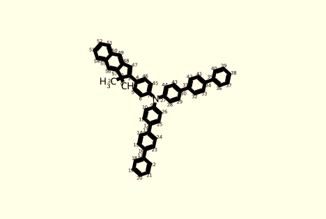 CC1(C)C(c2ccc(N(c3ccc(-c4ccc(-c5ccccc5)cc4)cc3)c3ccc(-c4ccc(-c5ccccc5)cc4)cc3)cc2)=Cc2cc3ccccc3cc21